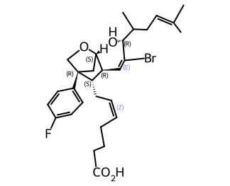 CC(C)=CCC(C)[C@@H](O)/C(Br)=C\[C@@H]1[C@@H]2C[C@@](c3ccc(F)cc3)(CO2)[C@H]1C/C=C\CCCC(=O)O